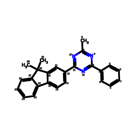 Cc1nc(-c2ccccc2)nc(-c2ccc3c(c2)C(C)(C)c2ccccc2-3)n1